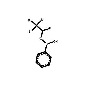 OB(OC(Br)C(Br)(Br)Br)c1ccccc1